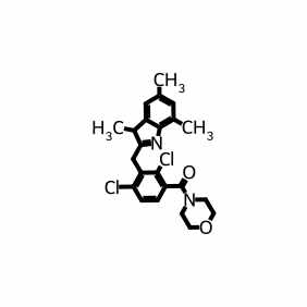 Cc1cc(C)c2c(c1)C(C)C(Cc1c(Cl)ccc(C(=O)N3CCOCC3)c1Cl)=N2